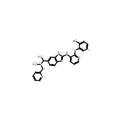 CC(c1ccc2nc(Nc3cccnc3Oc3ccccc3C(C)(C)C)[nH]c2c1)N(C)Cc1ccccn1